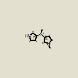 CN1CC[C@H](N(C)[C@H]2CCNC2)C1